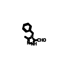 CC1=NNC(C=O)N1Cc1ccccc1